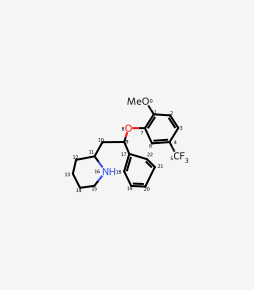 COc1ccc(C(F)(F)F)cc1OC(CC1CCCCN1)c1ccccc1